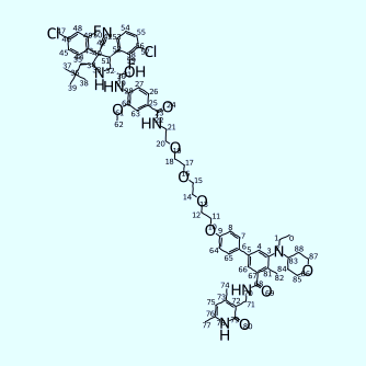 CCN(c1cc(-c2ccc(OCCOCCOCCOCCNC(=O)c3ccc(NC(O)[C@@H]4N[C@@H](CC(C)(C)C)[C@](C#N)(c5ccc(Cl)cc5F)[C@H]4c4cccc(Cl)c4F)c(OC)c3)cc2)cc(C(=O)NCc2c(C)cc(C)[nH]c2=O)c1C)C1CCOCC1